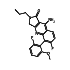 CCCN1Cc2nc3c(-c4c(F)cccc4OC)c(F)ccc3c(N)c2C1=O